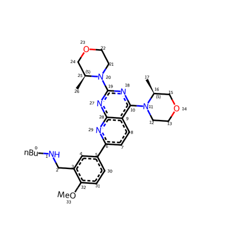 CCCCNCc1cc(-c2ccc3c(N4CCOC[C@@H]4C)nc(N4CCOC[C@@H]4C)nc3n2)ccc1OC